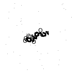 CC(C)n1c(C(=O)N2CCS(=O)(=O)CC2)cc2cc(C(=O)N3CCCC(N(C)C)C3)ccc21